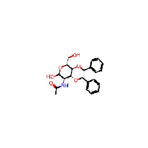 CC(=O)N[C@H]1C(O)O[C@H](CO)[C@@H](OCc2ccccc2)[C@@H]1OCc1ccccc1